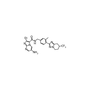 CCc1nc2ncc(N)cn2c1C(=O)NCc1ccc(-c2nc3n(n2)CCC(C(F)(F)F)C3)c(C)c1